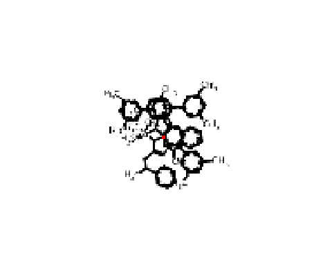 Cc1cc(C)cc(-c2ccc(-c3cc(C)cc(C)c3)c3c2C=C(CC(C)c2ccccc2)[CH]3[Zr]([CH3])([CH3])(=[SiH2])[CH]2C(CC(C)c3ccccc3)=Cc3c(-c4cc(C)cc(C)c4)ccc(-c4cc(C)cc(C)c4)c32)c1